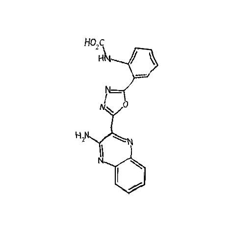 Nc1nc2ccccc2nc1-c1nnc(-c2ccccc2NC(=O)O)o1